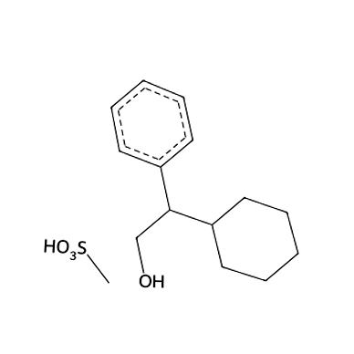 CS(=O)(=O)O.OCC(c1ccccc1)C1CCCCC1